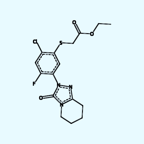 CCOC(=O)CSc1cc(-n2nc3n(c2=O)CCCC3)c(F)cc1Cl